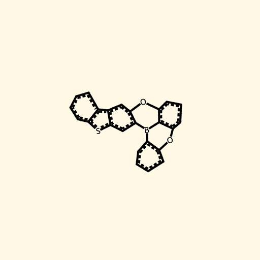 c1ccc2c(c1)Oc1cccc3c1B2c1cc2sc4ccccc4c2cc1O3